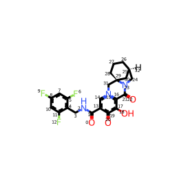 O=C(NCc1c(F)cc(F)cc1F)c1cn2c(c(O)c1=O)C(=O)N1C[C@@H]3CCC[C@]1(C3)C2